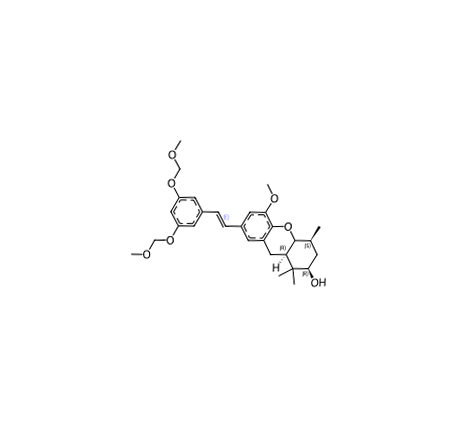 COCOc1cc(/C=C/c2cc3c(c(OC)c2)OC2[C@@H](C)C[C@@H](O)C(C)(C)[C@H]2C3)cc(OCOC)c1